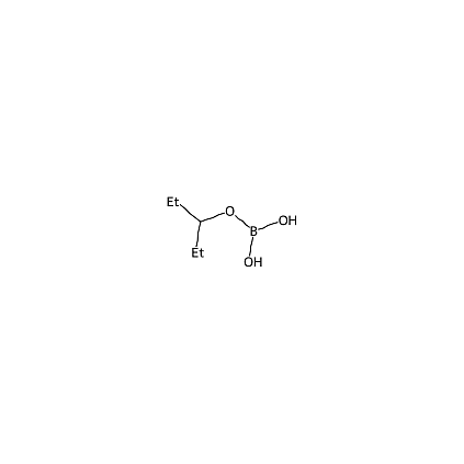 CCC(CC)OB(O)O